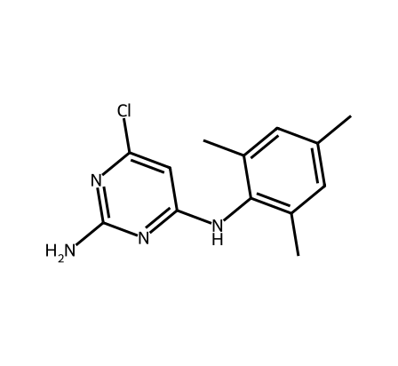 Cc1cc(C)c(Nc2cc(Cl)nc(N)n2)c(C)c1